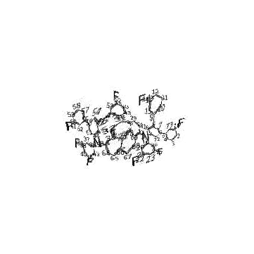 Fc1cccc(-c2cc(-c3cccc(F)c3)cc(N(c3cc(F)cc(F)c3)c3ccc4ccc5c(N(c6cc(F)cc(F)c6)c6cc(-c7cccc(F)c7)cc(-c7cccc(F)c7)c6)ccc6ccc3c4c65)c2)c1